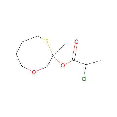 CC(Cl)C(=O)OC1(C)COCCCCS1